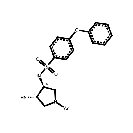 CC(=O)N1C[C@H](NS(=O)(=O)c2ccc(Oc3ccccc3)cc2)[C@@H](S)C1